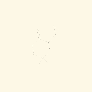 CC1(C)CCC(=N)/C(=C\N)C1